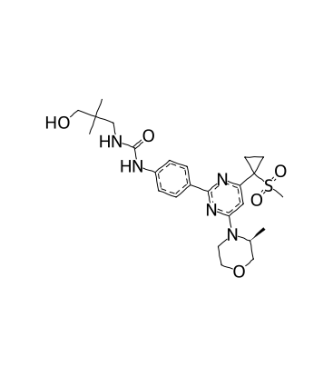 C[C@H]1COCCN1c1cc(C2(S(C)(=O)=O)CC2)nc(-c2ccc(NC(=O)NCC(C)(C)CO)cc2)n1